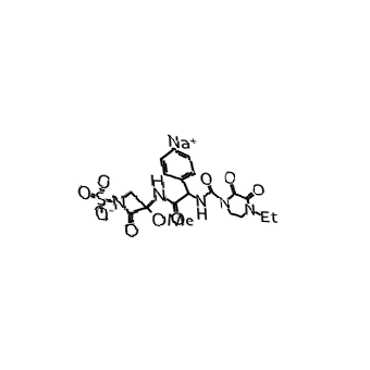 CCN1CCN(C(=O)NC(C(=O)NC2(OC)CN(S(=O)(=O)[O-])C2=O)c2ccccc2)C(=O)C1=O.[Na+]